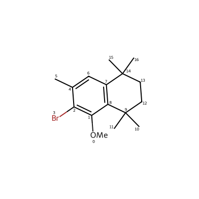 COc1c(Br)c(C)cc2c1C(C)(C)CCC2(C)C